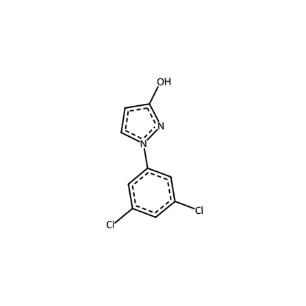 Oc1ccn(-c2cc(Cl)cc(Cl)c2)n1